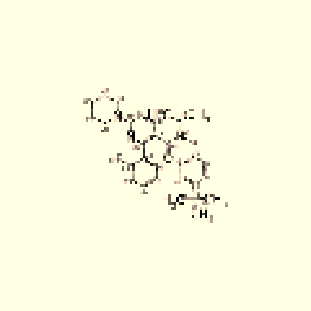 CC(C)N(Cc1ccc(C(C)(C)C)cc1)C(=O)c1cnc(N2CCCCC2)nc1-c1ccccc1F